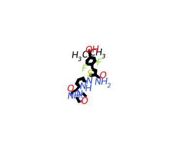 CC(C)(O)c1cc(F)c(-c2cc(C(N)=O)c(Nc3cccc(C(C(N)=O)N4CCOCC4)n3)s2)c(F)c1